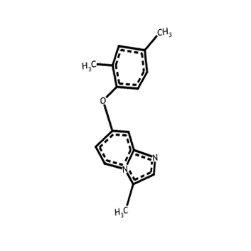 Cc1ccc(Oc2ccn3c(C)cnc3c2)c(C)c1